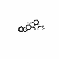 CN1CCC[C@H](C(=O)NO)[C@H]1C(=O)N1CCN2c3ccccc3C[C@H]2C1